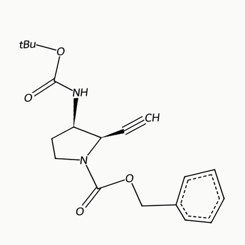 C#C[C@@H]1[C@H](NC(=O)OC(C)(C)C)CCN1C(=O)OCc1ccccc1